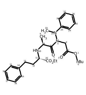 CCCCOC(=O)CN(C(=O)[C@H](C)N[C@@H](CCc1ccccc1)C(=O)OCC)N(C)c1ccccc1